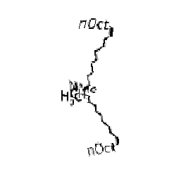 CCCCCCCC/C=C\CCCCCCCCCC(C)CCCCCCCC/C=C\CCCCCCCC.CNC